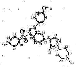 COc1ccc(-c2cn(S(=O)(=O)c3ccc(C)cc3)c3ncc(-c4cnn(C5CCN(C)CC5)c4C)cc23)cn1